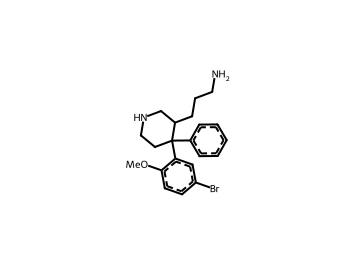 COc1ccc(Br)cc1C1(c2ccccc2)CCNCC1CCCN